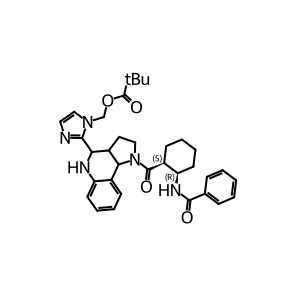 CC(C)(C)C(=O)OCn1ccnc1C1Nc2ccccc2C2C1CCN2C(=O)[C@H]1CCCC[C@H]1NC(=O)c1ccccc1